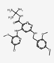 BC(B)(B)NC(=O)c1nnc(NCc2ccc(OC)cc2OC)cc1Nc1ncc(Cl)cc1SC